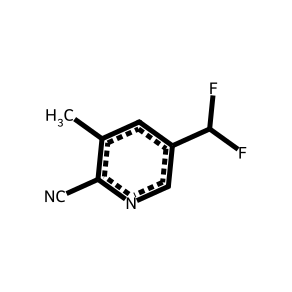 Cc1cc(C(F)F)cnc1C#N